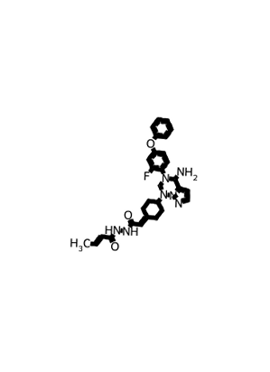 C/C=C/C(=O)NNC(=O)C=C1CCC(N2CN(c3ccc(Oc4ccccc4)cc3F)C(N)c3ccnn32)CC1